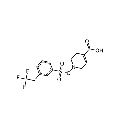 O=C(O)C1=CCN(OS(=O)(=O)c2cccc(CC(F)(F)F)c2)CC1